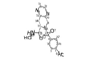 CC(=O)c1ccc(S(=O)(=O)N2Cc3nccnc3CC2C(=O)NO)cc1